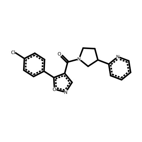 O=C(c1cnoc1-c1ccc(Cl)cc1)N1CCC(c2ccccn2)C1